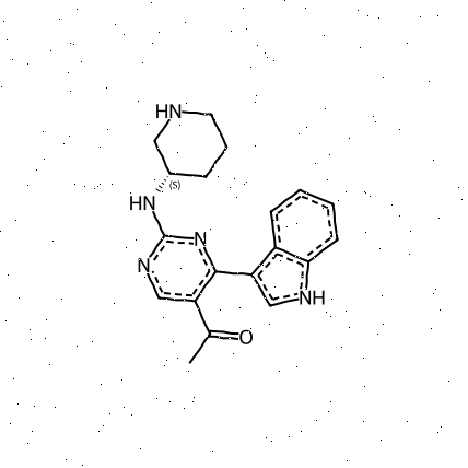 CC(=O)c1cnc(N[C@H]2CCCNC2)nc1-c1c[nH]c2ccccc12